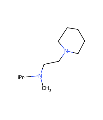 CC(C)N(C)CCN1CCCCC1